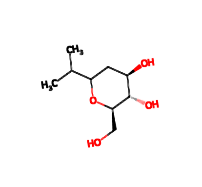 CC(C)C1C[C@@H](O)[C@H](O)[C@@H](CO)O1